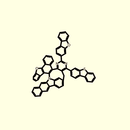 c1ccc2cc3c(cc2c1)c1ccc2cc1n3-c1c(c3ccccc3c3oc4ccccc4c13)-c1nc(-c3ccc4c(c3)oc3ccccc34)nc(-c3ccc4c(c3)sc3ccccc34)c1C2